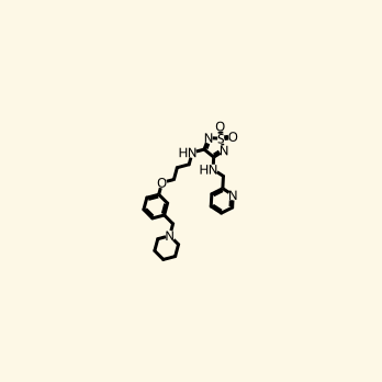 O=S1(=O)N=C(NCCCOc2cccc(CN3CCCCC3)c2)C(NCc2ccccn2)=N1